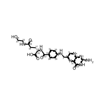 Nc1nc2ncc(CNc3ccc(C(=O)N[C@@H](CCC(=O)NCCO)C(=O)O)cc3)nc2c(=O)[nH]1